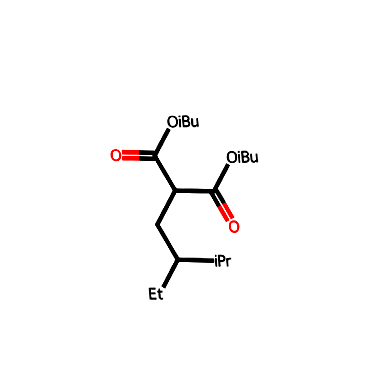 CCC(CC(C(=O)OCC(C)C)C(=O)OCC(C)C)C(C)C